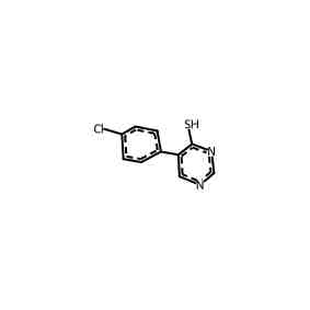 Sc1ncncc1-c1ccc(Cl)cc1